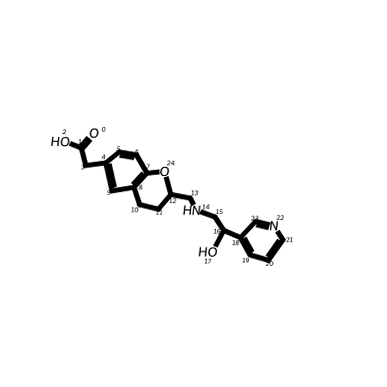 O=C(O)Cc1ccc2c(c1)CCC(CNCC(O)c1cccnc1)O2